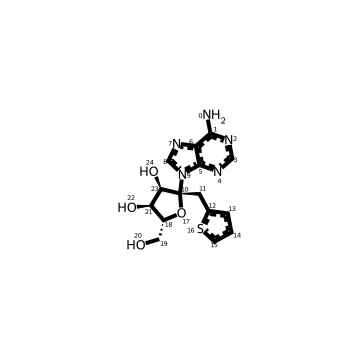 Nc1ncnc2c1ncn2[C@]1(Cc2cccs2)O[C@H](CO)[C@@H](O)[C@H]1O